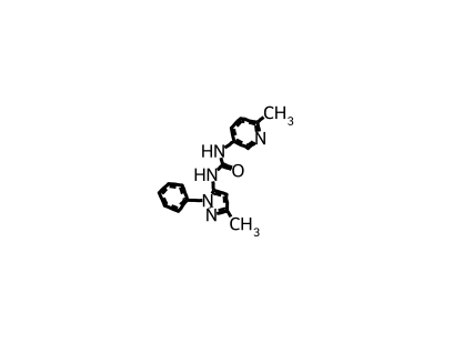 Cc1ccc(NC(=O)Nc2cc(C)nn2-c2ccccc2)cn1